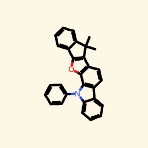 CC1(C)c2ccccc2-c2oc3c(ccc4c5ccccc5n(-c5ccccc5)c43)c21